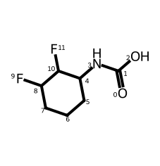 O=C(O)NC1CCCC(F)C1F